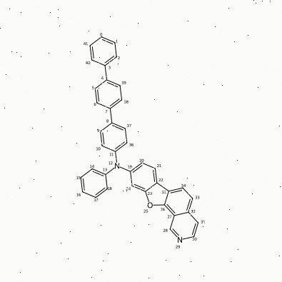 c1ccc(-c2ccc(-c3ccc(N(c4ccccc4)c4ccc5c(c4)oc4c6cnccc6ccc54)cc3)cc2)cc1